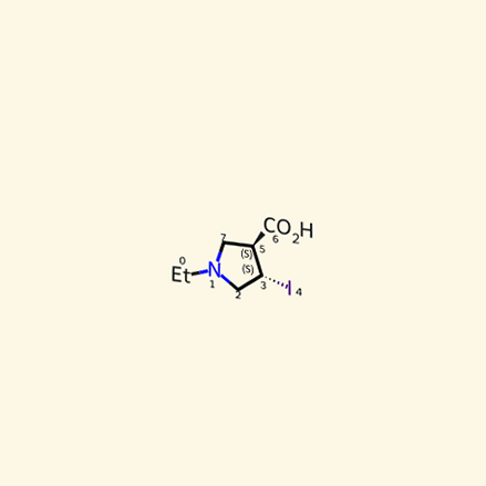 CCN1C[C@@H](I)[C@H](C(=O)O)C1